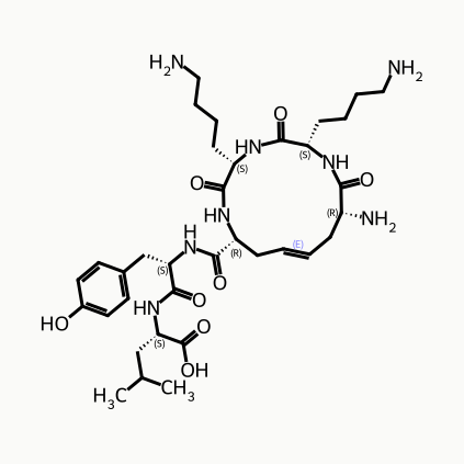 CC(C)C[C@H](NC(=O)[C@H](Cc1ccc(O)cc1)NC(=O)[C@H]1C/C=C/C[C@@H](N)C(=O)N[C@@H](CCCCN)C(=O)N[C@@H](CCCCN)C(=O)N1)C(=O)O